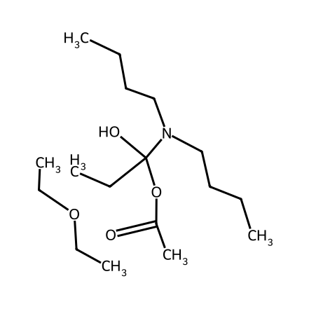 CCCCN(CCCC)C(O)(CC)OC(C)=O.CCOCC